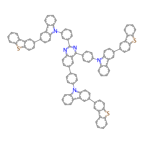 c1cc(-c2nc(-c3ccc(-n4c5ccccc5c5cc(-c6ccc7sc8ccccc8c7c6)ccc54)cc3)c3cc(-c4ccc(-n5c6ccccc6c6cc(-c7ccc8sc9ccccc9c8c7)ccc65)cc4)ccc3n2)cc(-n2c3ccccc3c3cc(-c4ccc5sc6ccccc6c5c4)ccc32)c1